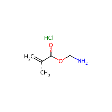 C=C(C)C(=O)OCN.Cl